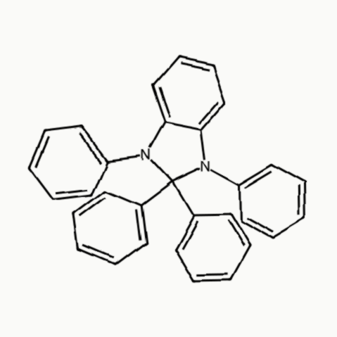 c1ccc(N2c3ccccc3N(c3ccccc3)C2(c2ccccc2)c2ccccc2)cc1